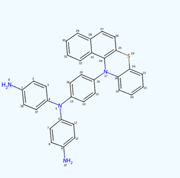 Nc1ccc(N(c2ccc(N)cc2)c2ccc(N3c4ccccc4Sc4ccc5ccccc5c43)cc2)cc1